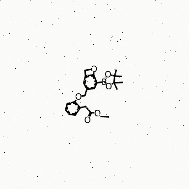 CCOC(=O)Cc1ccccc1OCc1cc2c(c(B3OC(C)(C)C(C)(C)O3)c1)OC2